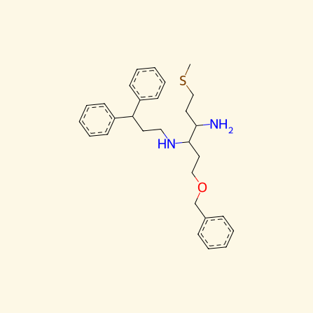 CSCCC(N)C(CCOCc1ccccc1)NCCC(c1ccccc1)c1ccccc1